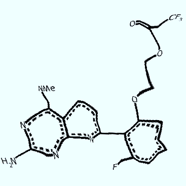 CNc1nc(N)nc2nc(-c3c(F)cccc3OCCOC(=O)C(F)(F)F)ccc12